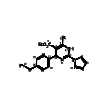 CCOC(=O)C1=C(CC)NC(n2cccn2)=NC1c1ccc(CC(C)C)cc1